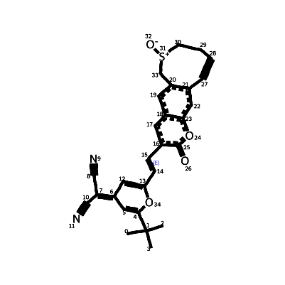 CC(C)(C)C1=CC(=C(C#N)C#N)C=C(/C=C/c2cc3cc4c(cc3oc2=O)C#CCC[S+]([O-])C4)O1